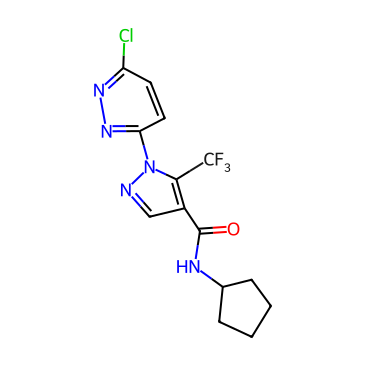 O=C(NC1CCCC1)c1cnn(-c2ccc(Cl)nn2)c1C(F)(F)F